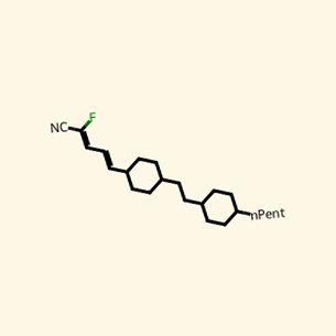 CCCCCC1CCC(CCC2CCC(C=CC=C(F)C#N)CC2)CC1